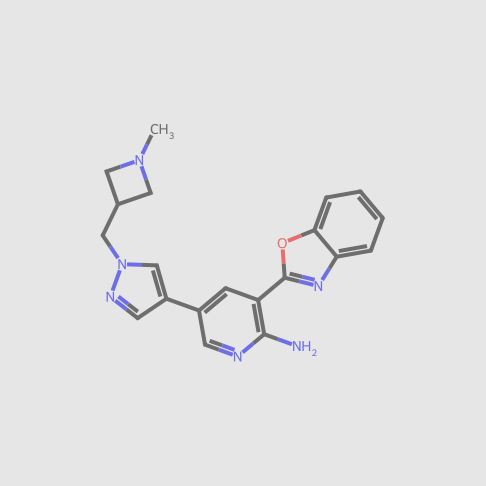 CN1CC(Cn2cc(-c3cnc(N)c(-c4nc5ccccc5o4)c3)cn2)C1